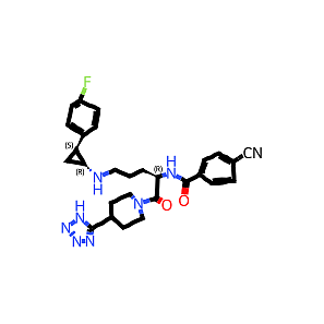 N#Cc1ccc(C(=O)N[C@H](CCCN[C@@H]2C[C@H]2c2ccc(F)cc2)C(=O)N2CCC(c3nnn[nH]3)CC2)cc1